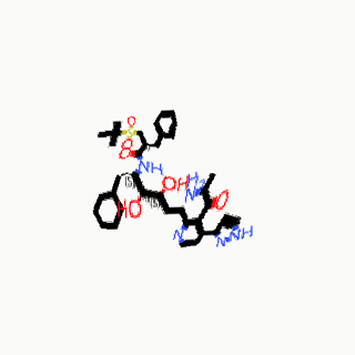 CC(N)C(=O)c1c(-c2cc[nH]n2)ccnc1CC[C@H](O)[C@H](O)[C@H](CC1CCCCC1)NC(=O)[C@H](Cc1ccccc1)CS(=O)(=O)C(C)(C)C